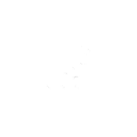 COc1nc2c(cc1Nc1ncc(Cl)c(NC(C)c3cccn(C)c3=O)n1)CN(C)CC2